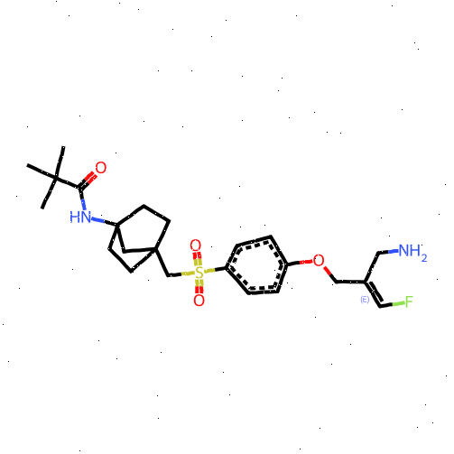 CC(C)(C)C(=O)NC12CCC(CS(=O)(=O)c3ccc(OC/C(=C/F)CN)cc3)(CC1)C2